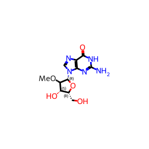 COC1[C@@H](O)[C@@H](CO)O[C@H]1n1cnc2c(=O)[nH]c(N)nc21